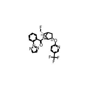 O=C(c1ccccc1-n1nccn1)N1C2CC(C[C@H]2Oc2ccc(C(F)(F)F)cn2)[C@H]1CF